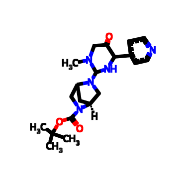 CN1CC(=O)C(c2ccncc2)NC1N1C[C@@H]2CC1CN2C(=O)OC(C)(C)C